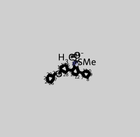 CS/C(=C\c1cc(-c2ccccc2)ccc1-c1cccc(OCc2ccccc2)c1)[S+](C)[O-]